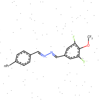 CCCc1ccc(C=NN=Cc2cc(F)c(OC(F)(F)F)c(F)c2)cc1